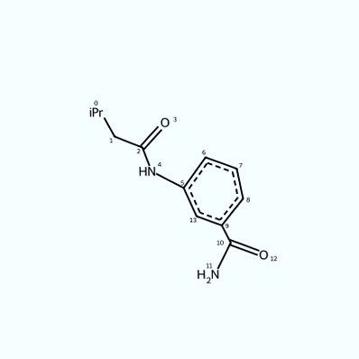 CC(C)CC(=O)Nc1cccc(C(N)=O)c1